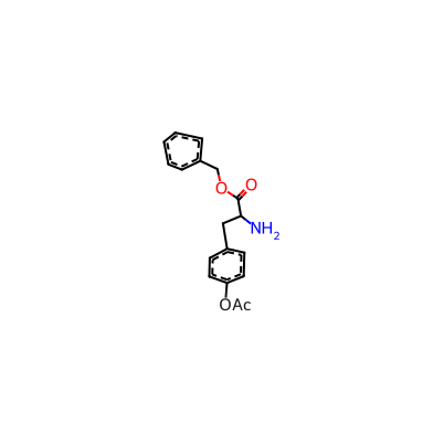 CC(=O)Oc1ccc(CC(N)C(=O)OCc2ccccc2)cc1